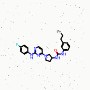 CC(C)CCc1cccc(NC(=O)NC2CCN(c3ccnc(Nc4ccc(F)cc4)n3)C2)c1